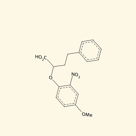 COc1ccc(OC(CCc2ccccc2)C(=O)O)c([N+](=O)[O-])c1